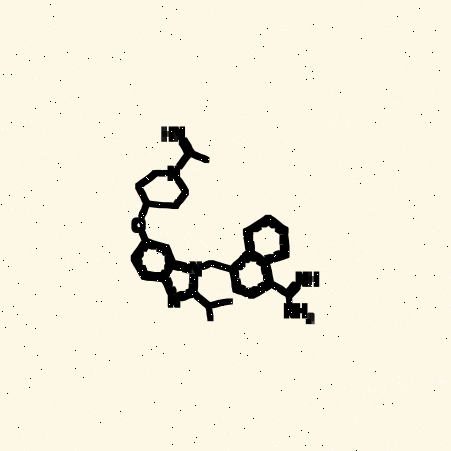 CC(=N)N1CCC(Oc2ccc3nc(C(C)C)n(Cc4ccc(C(=N)N)c5ccccc45)c3c2)CC1